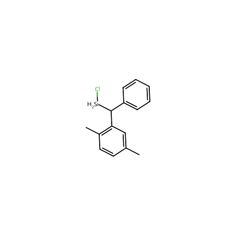 Cc1ccc(C)c(C([SiH2]Cl)c2ccccc2)c1